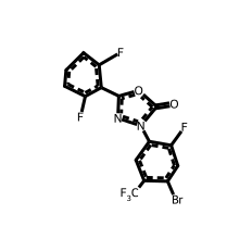 O=c1oc(-c2c(F)cccc2F)nn1-c1cc(C(F)(F)F)c(Br)cc1F